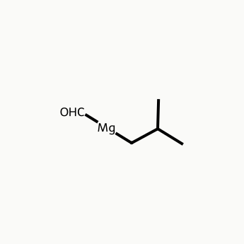 CC(C)[CH2][Mg][CH]=O